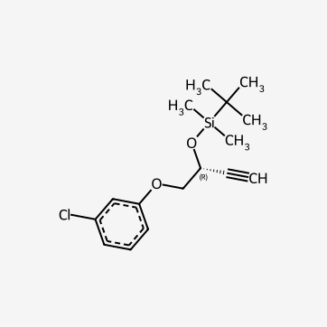 C#C[C@H](COc1cccc(Cl)c1)O[Si](C)(C)C(C)(C)C